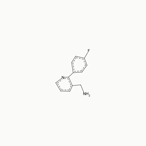 NCc1cccnc1-c1ccc(F)cc1